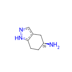 N[C@H]1CCc2[nH]ncc2C1